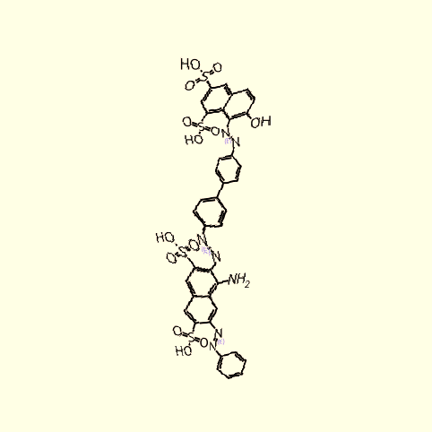 Nc1c(/N=N/c2ccc(-c3ccc(/N=N/c4c(O)ccc5cc(S(=O)(=O)O)cc(S(=O)(=O)O)c45)cc3)cc2)c(S(=O)(=O)O)cc2cc(S(=O)(=O)O)c(/N=N/c3ccccc3)cc12